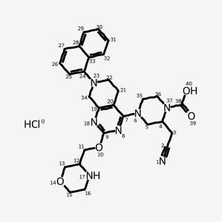 Cl.N#CCC1CN(c2nc(OCC3COCCN3)nc3c2CCN(c2cccc4ccccc24)C3)CCN1C(=O)O